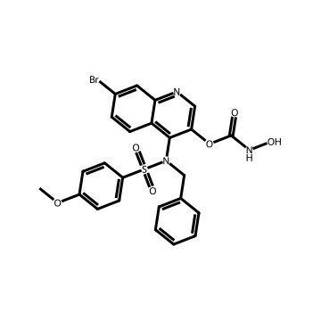 COc1ccc(S(=O)(=O)N(Cc2ccccc2)c2c(OC(=O)NO)cnc3cc(Br)ccc23)cc1